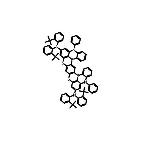 CC(C)(C)c1ccccc1N(c1cc2c3c(c1)N(c1ccccc1)c1ccccc1B3c1cc3c(cc1S2)Sc1cc(N(c2ccccc2C(C)(C)C)c2ccccc2C(C)(C)C)cc2c1B3c1ccccc1N2c1ccccc1)c1ccccc1C(C)(C)C